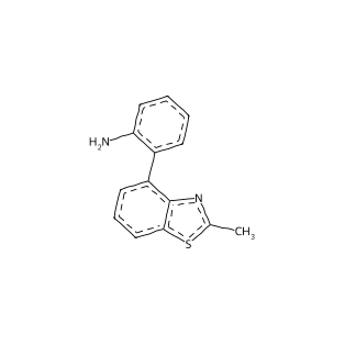 Cc1nc2c(-c3ccccc3N)cccc2s1